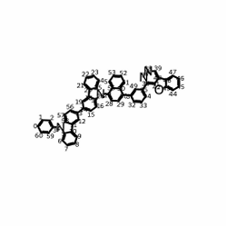 c1ccc(-n2c3ccccc3c3cc(-c4ccc5c(c4)c4ccccc4n5-c4ccc(-c5cccc(-c6nncc7c6oc6ccccc67)c5)c5ccccc45)ccc32)cc1